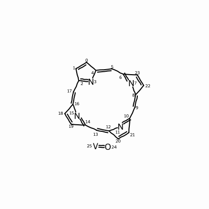 C1=CC2=NC1=CC1=NC(=CC3=NC(=CC4=NC(=C2)C=C4)C=C3)C=C1.[O]=[V]